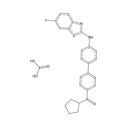 O=C(O)O.O=C(c1ccc(-c2ccc(Nc3nc4ccc(F)cc4s3)cc2)cc1)C1CCCC1